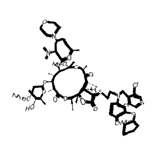 COc1ccc(N(CCSC2C(=O)O[C@@]3(C)[C@H]2[C@@H](C)C(=O)[C@H](C)C[C@@](C)(OC)[C@H](O[C@@H]2O[C@H](C)C[C@@H](N4CCOCC4)[C@@H]2N(C)C)[C@@H](C)[C@H](O[C@H]2C[C@@](C)(OC)[C@@H](O)[C@H](C)O2)[C@@H](C)C(=O)O[C@@H]3I)Cc2c(Cl)cncc2Cl)cc1OC1CCCC1